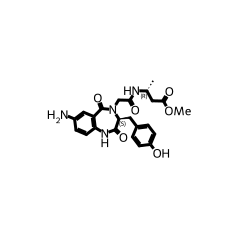 COC(=O)C[C@@H](C)NC(=O)CN1C(=O)c2cc(N)ccc2NC(=O)[C@@H]1Cc1ccc(O)cc1